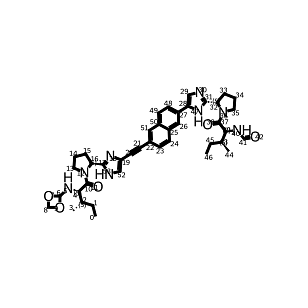 CC[C@H](C)[C@H](NC1OCO1)C(=O)N1CCC[C@H]1c1nc(C#Cc2ccc3cc(-c4cnc([C@@H]5CCCN5C(=O)[C@@H](NC=O)[C@@H](C)CC)[nH]4)ccc3c2)c[nH]1